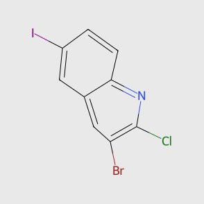 Clc1nc2ccc(I)cc2cc1Br